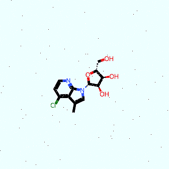 Cc1cn([C@@H]2O[C@H](CO)[C@@H](O)[C@H]2O)c2nccc(Cl)c12